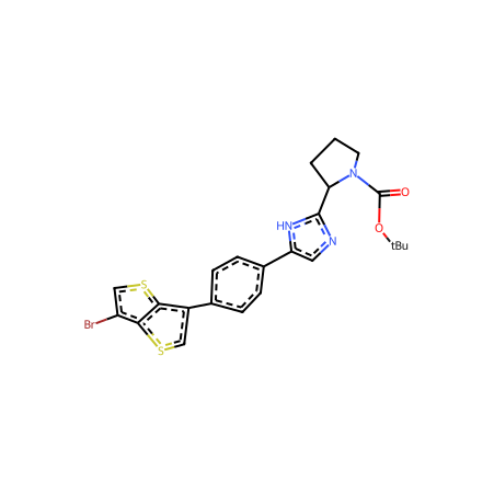 CC(C)(C)OC(=O)N1CCCC1c1ncc(-c2ccc(-c3csc4c(Br)csc34)cc2)[nH]1